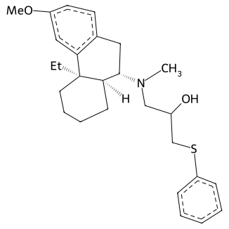 CC[C@@]12CCCC[C@@H]1[C@@H](N(C)CC(O)CSc1ccccc1)Cc1ccc(OC)cc12